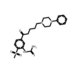 CS(=O)(=O)c1ccc(C(=O)CCCCN2CCN(c3ccccc3)CC2)cc1NC(N)=S